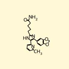 Cc1cccc(-c2[nH]c(CCCCC(N)=O)nc2-c2ccc3c(c2)OCO3)n1